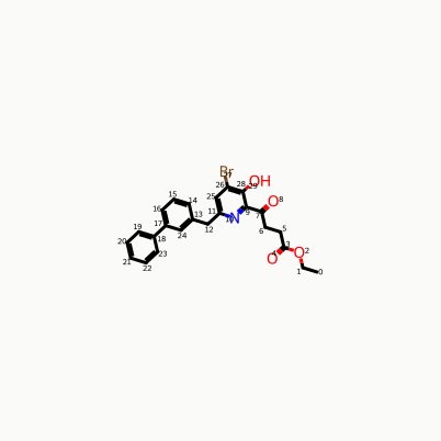 CCOC(=O)CCC(=O)c1nc(Cc2cccc(-c3ccccc3)c2)cc(Br)c1O